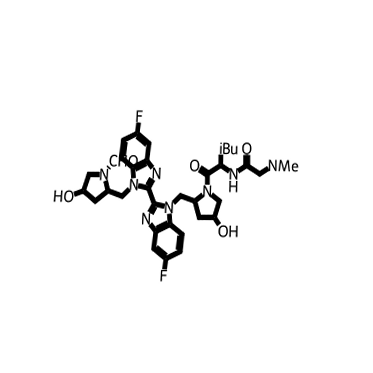 CCC(C)C(NC(=O)CNC)C(=O)N1CC(O)CC1Cn1c(-c2nc3cc(F)ccc3n2CC2CC(O)CN2C=O)nc2cc(F)ccc21